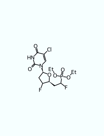 CCOP(=O)(OCC)C(F)C[C@@H]1O[C@H](n2cc(Cl)c(=O)[nH]c2=O)CC1F